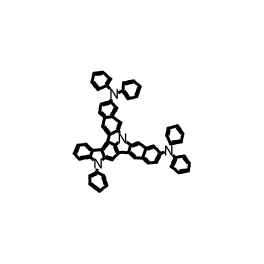 c1ccc(N(c2ccccc2)c2ccc3cc4c5cc6c(c7ccccc7n6-c6ccccc6)c6c7cc8ccc(N(c9ccccc9)c9ccccc9)cc8cc7n(c4cc3c2)c56)cc1